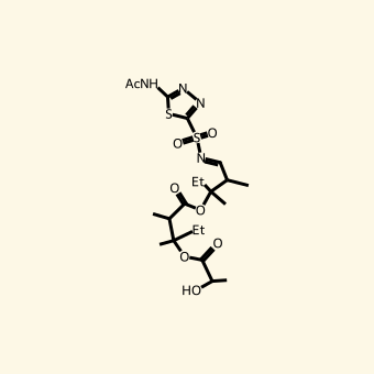 CCC(C)(OC(=O)C(C)C(C)(CC)OC(=O)C(C)O)C(C)/C=N/S(=O)(=O)c1nnc(NC(C)=O)s1